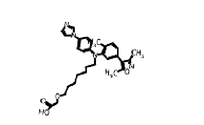 Cc1ccc(-c2c(C)noc2C)cc1N(CCCCCCCOCC(=O)O)c1ccc(-n2ccnc2)cc1